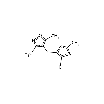 Cc1cc(Cc2c(C)noc2C)c(C)s1